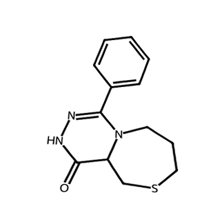 O=C1NN=C(c2ccccc2)N2CCCSCC12